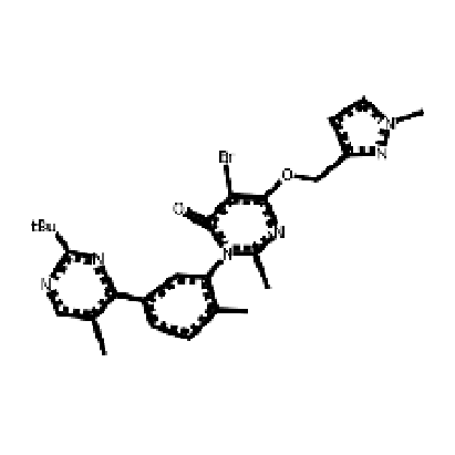 Cc1ccc(-c2nc(C(C)(C)C)ncc2C)cc1-n1c(C)nc(OCc2ccn(C)n2)c(Br)c1=O